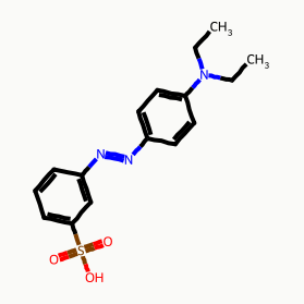 CCN(CC)c1ccc(N=Nc2cccc(S(=O)(=O)O)c2)cc1